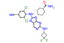 N#Cc1cc(Cl)c(Nc2nc3cnc(NC4CC(F)(F)C4)nc3n2[C@H]2CC[C@H](C(N)=O)CC2)c(Cl)c1